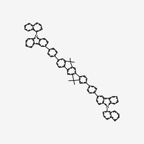 CC1(C)c2cc(-c3ccc(-c4ccc5c(c4)c4ccccc4n5-c4cccc5ccccc45)cc3)ccc2-c2cc3c(cc21)-c1ccc(-c2ccc(-c4ccc5c(c4)c4ccccc4n5-c4cccc5ccccc45)cc2)cc1C3(C)C